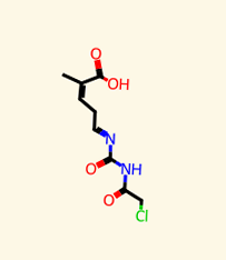 CC(=CCC=NC(=O)NC(=O)CCl)C(=O)O